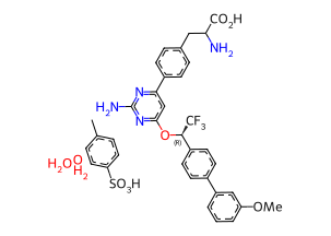 COc1cccc(-c2ccc([C@@H](Oc3cc(-c4ccc(CC(N)C(=O)O)cc4)nc(N)n3)C(F)(F)F)cc2)c1.Cc1ccc(S(=O)(=O)O)cc1.O.O